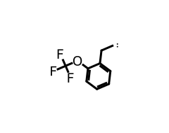 [CH]Cc1ccccc1OC(F)(F)F